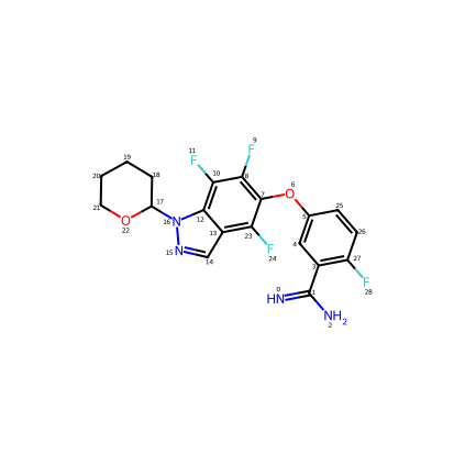 N=C(N)c1cc(Oc2c(F)c(F)c3c(cnn3C3CCCCO3)c2F)ccc1F